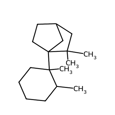 CC1CCCCC1(C)C12CCC(CC1(C)C)C2